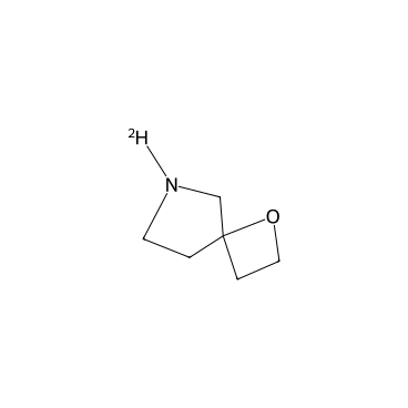 [2H]N1CCC2(CCO2)C1